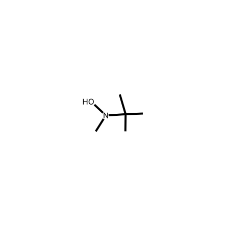 CN(O)C(C)(C)C